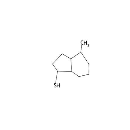 CC1CCCC2C(S)CCC12